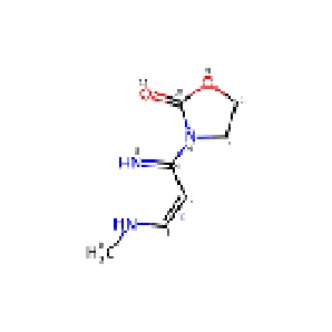 CN/C=C\C(=N)N1CCOC1=O